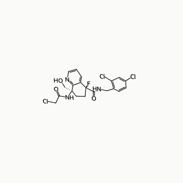 O=C(CCl)N[C@]1(CO)CC[C@@](F)(C(=O)NCc2ccc(Cl)cc2Cl)c2cccnc21